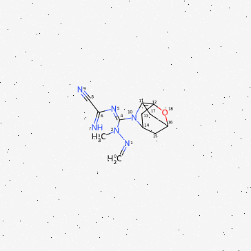 C=NN(C)/C(=N\C(=N)C#N)N1C2=C3CC1CC(C2)O3